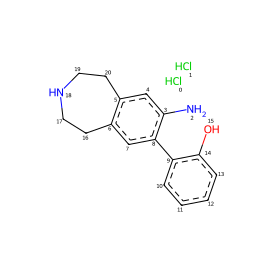 Cl.Cl.Nc1cc2c(cc1-c1ccccc1O)CCNCC2